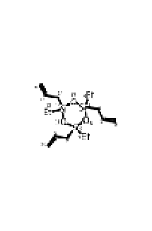 C=CC[Si]1(CC)O[Si](CC)(CC=C)O[Si](CC)(CC=C)O1